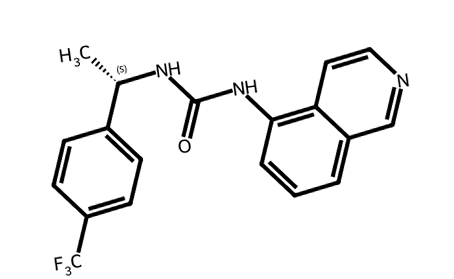 C[C@H](NC(=O)Nc1cccc2cnccc12)c1ccc(C(F)(F)F)cc1